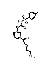 CCCCOC(=O)c1cccc(NC(=O)NS(=O)(=O)c2ccc(Cl)cc2)c1